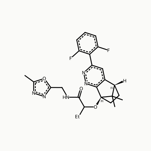 CCC(O[C@@]12CC[C@@H](c3cc(-c4c(F)cccc4F)nnc31)C2(C)C)C(=O)NCc1nnc(C)o1